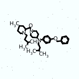 CC(C)CCN1CCC(C)CC1C(=O)N1CCC(N(CCC(C)C)c2ccc(OCc3ccccc3)cc2)CC1